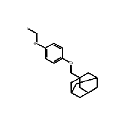 ICNc1ccc(OCC23CC4CC(CC(C4)C2)C3)cc1